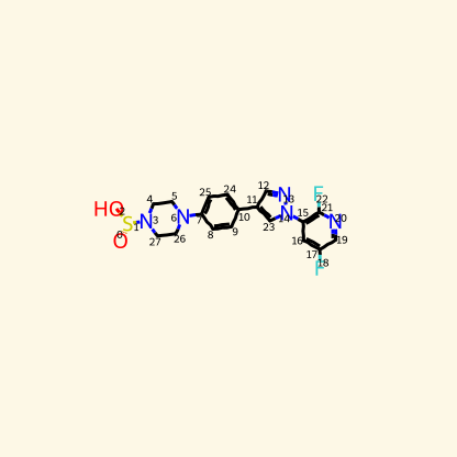 O=S(O)N1CCN(c2ccc(-c3cnn(-c4cc(F)cnc4F)c3)cc2)CC1